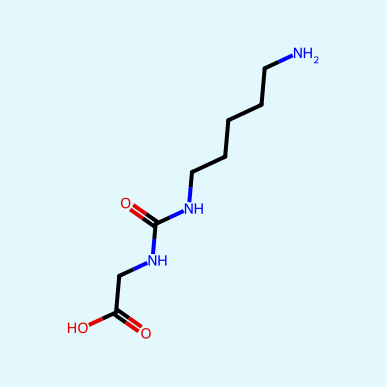 NCCCCCNC(=O)NCC(=O)O